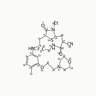 CCN1C(=O)C(CCNc2ccc(C)c(OCCN3CCOCC3)c2)SC1CC(C#N)C(=O)NCC(F)(F)F